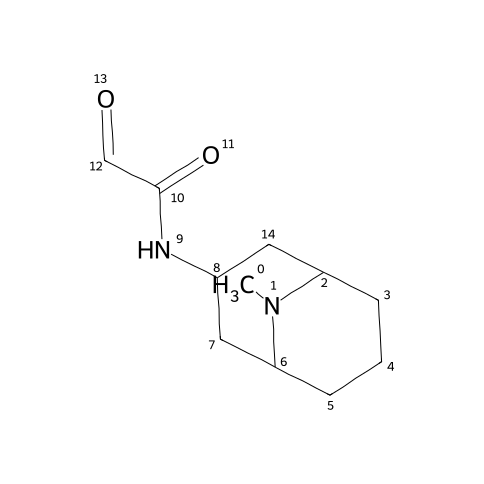 CN1C2CCCC1CC(NC(=O)C=O)C2